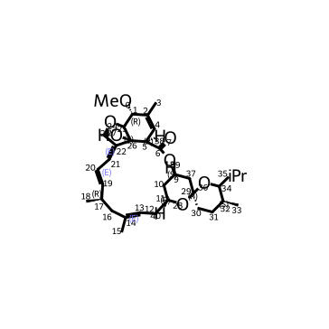 CO[C@@H]1C(C)=C[C@H]2C(=O)O[C@H]3C[C@@H](C/C=C(\C)C[C@@H](C)/C=C/C=C4\COC1[C@@]42O)O[C@@]1(CC[C@H](C)C(C(C)C)O1)C3